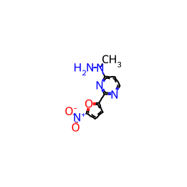 CN(N)c1ccnc(-c2ccc([N+](=O)[O-])o2)n1